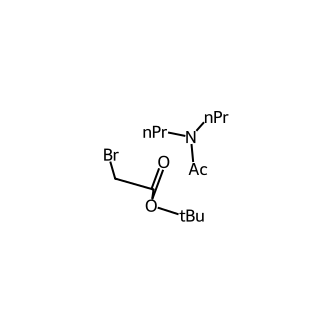 CC(C)(C)OC(=O)CBr.CCCN(CCC)C(C)=O